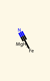 N#[C][Fe].[MgH2]